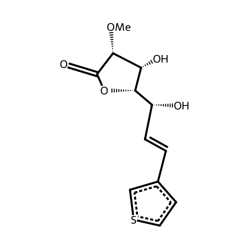 CO[C@H]1C(=O)O[C@@H]([C@H](O)C=Cc2ccsc2)[C@H]1O